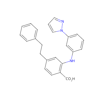 O=C(O)c1ccc(CCc2ccccc2)cc1Nc1cccc(-n2cccn2)c1